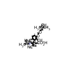 Cc1ccc(OCOCC[Si](C)(C)C)c(C)c1-n1c(C(=O)O)nc(C#N)c1/N=C/N(C)C